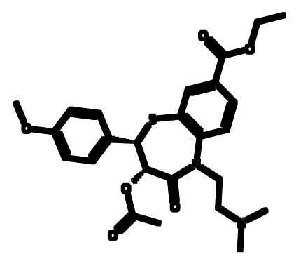 CCOC(=O)c1ccc2c(c1)S[C@@H](c1ccc(OC)cc1)[C@@H](OC(C)=O)C(=O)N2CCN(C)C